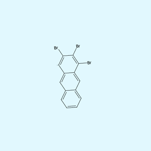 Brc1[c]c2cc3ccccc3cc2c(Br)c1Br